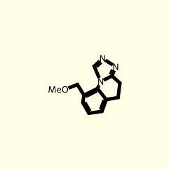 COCc1cccc2c1-n1cnnc1CC2